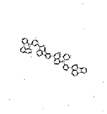 c1ccc(N(c2cccc(-c3ccc4c5c(cccc35)-c3ccccc3-4)c2)c2cccc3c(-c4ccc5c(c4)-c4ccc(-c6cccc(N(c7ccccc7)c7cccc8cccnc78)c6)c6cccc-5c46)cncc23)cc1